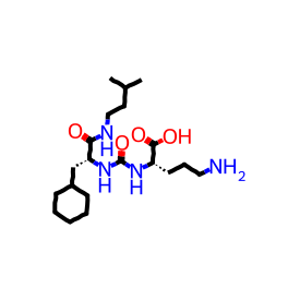 CC(C)CCNC(=O)[C@@H](CC1CCCCC1)NC(=O)N[C@@H](CCCN)C(=O)O